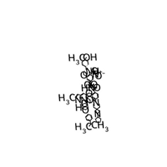 Cc1cc2cc(Oc3cc(N4CCC5(CC4)CN(C4CCC[C@@H]4c4ccccc4C(C)C)C5)ccc3C(=O)NS(=O)(=O)c3cc4c(c([N+](=O)[O-])c3)N[C@@H]([C@H]3CC[C@](C)(O)CC3)CO4)c(OC[C@@H]3COCCO3)nc2[nH]1